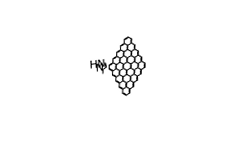 Cc1cc[nH]n1.c1cc2cc3cc4cc5ccc6cc7cc8cc9cccc%10cc%11cc%12cc%13ccc%14cc%15cc%16cc(c1)c2c1c3c2c4c3c5c6c4c7c5c8c(c9%10)c%11c6c%12c7c%13c%14c8c%15c(c%161)c2c1c3c4c(c56)c7c81